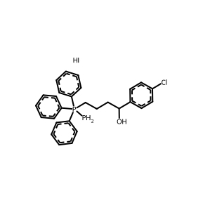 I.OC(CCCP(P)(c1ccccc1)(c1ccccc1)c1ccccc1)c1ccc(Cl)cc1